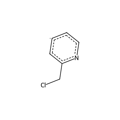 ClCc1c[c]ccn1